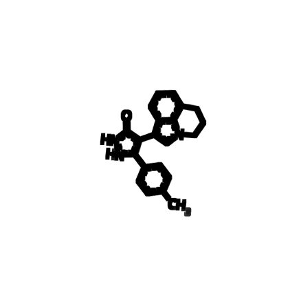 Cc1ccc(-c2[nH][nH]c(=O)c2-c2cn3c4c(cccc24)CCC3)cc1